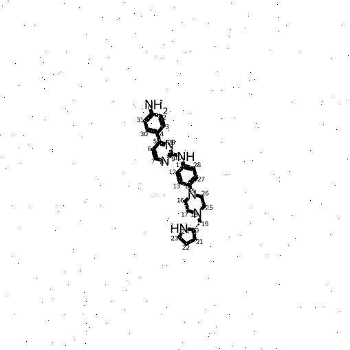 Nc1ccc(-c2ccnc(Nc3ccc(N4CCN(C[C@@H]5CCCN5)CC4)cc3)n2)cc1